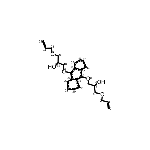 C=CCOCC(O)COc1c2ccccc2c(OCC(O)COCC=C)c2ccccc12